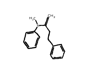 C=C(CCc1ccccc1)N(C)c1ccccc1